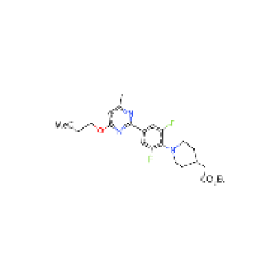 CCOC(=O)CC1CCN(c2c(F)cc(-c3nc(C)cc(OCCOC)n3)cc2F)CC1